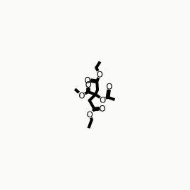 CCOC(=O)CC(CC(=O)OCC)(OC(C)=O)C(=O)OC